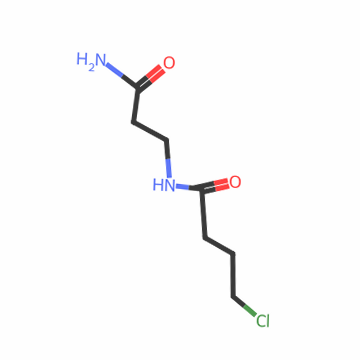 NC(=O)CCNC(=O)CCCCl